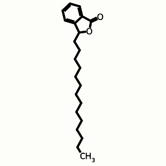 CCCCCCCCCCCCCCC1OC(=O)c2ccccc21